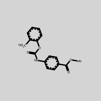 CCCOC(=O)c1ccc(NC(=O)Oc2ccccc2C(=O)O)cc1